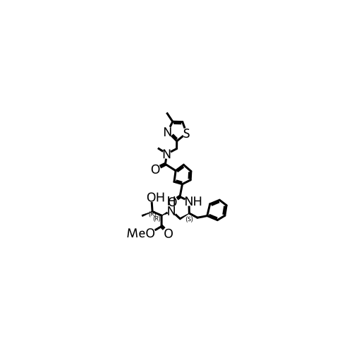 COC(=O)[C@H](NC[C@H](Cc1ccccc1)NC(=O)c1cccc(C(=O)N(C)Cc2nc(C)cs2)c1)[C@@H](C)O